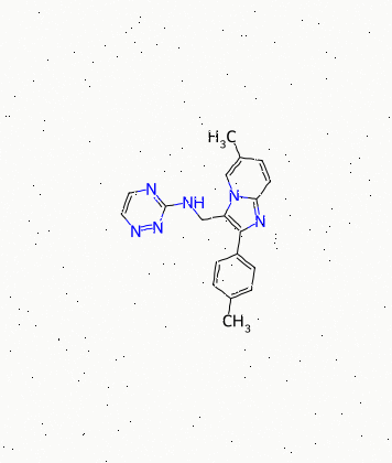 Cc1ccc(-c2nc3ccc(C)cn3c2CNc2nccnn2)cc1